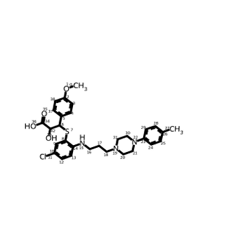 COc1ccc(C(Sc2cc(Cl)ccc2NCCCN2CCN(c3ccc(C)cc3)CC2)C(O)C(=O)O)cc1